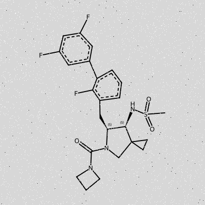 CS(=O)(=O)N[C@@H]1[C@H](Cc2cccc(-c3cc(F)cc(F)c3)c2F)N(C(=O)N2CCC2)CC12CC2